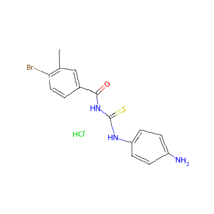 Cc1cc(C(=O)NC(=S)Nc2ccc(N)cc2)ccc1Br.Cl